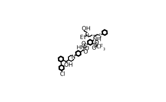 CCN(CCO)CC[C@H](CSc1ccccc1)Nc1ccc(S(=O)(=O)NC(=O)c2ccc(N3CCC([C@H](O)c4ccccc4-c4ccc(Cl)cc4)CC3)cc2)cc1S(=O)(=O)C(F)(F)F